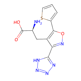 N[C@@H](Cc1c(-c2nnn[nH]2)noc1-c1cccs1)C(=O)O